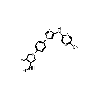 CCNC1CN(c2ccc(-n3cnc(Nc4cnc(C#N)cn4)c3)cc2)CC1F